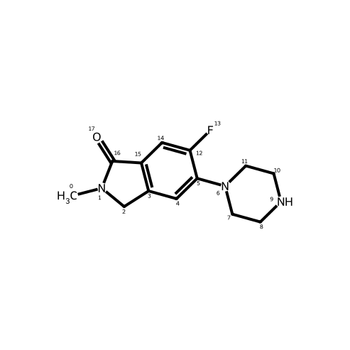 CN1Cc2cc(N3CCNCC3)c(F)cc2C1=O